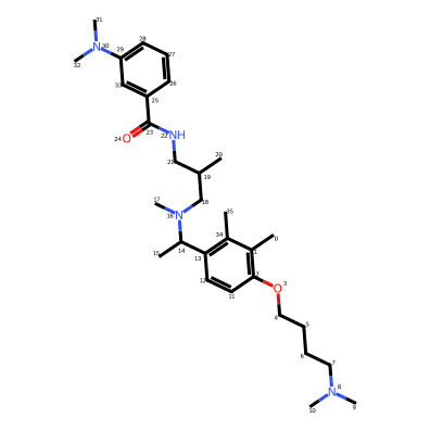 Cc1c(OCCCCN(C)C)ccc(C(C)N(C)CC(C)CNC(=O)c2cccc(N(C)C)c2)c1C